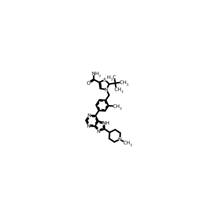 Cc1cc(-c2ncnc3nc(C4CCN(C)CC4)[nH]c23)ccc1CN1C=C(C(N)=O)SC1C(C)(C)C